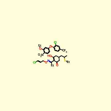 CCOc1cc(Oc2ccc(C(F)(F)F)cc2Cl)ccc1[N+](=O)[O-].CCSC(C)CC1CC(=O)C(/C(CC)=N/OC/C=C/Cl)=C(O)C1